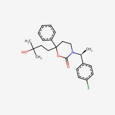 C[C@@H](c1ccc(F)cc1)N1CCC(CCC(C)(C)O)(c2ccccc2)OC1=O